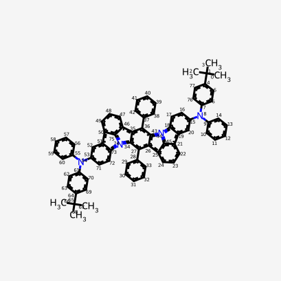 CC(C)(C)c1ccc(N(c2ccccc2)c2ccc3c(c2)c2cccc4c5c(-c6ccccc6)c6c(c(-c7ccccc7)c5n3c24)c2cccc3c4cc(N(c5ccccc5)c5ccc(C(C)(C)C)cc5)ccc4n6c32)cc1